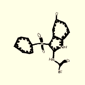 CCC(C)C(=O)Nc1[nH]c2ccc(Cl)cc2c1S(=O)(=O)c1ccccc1